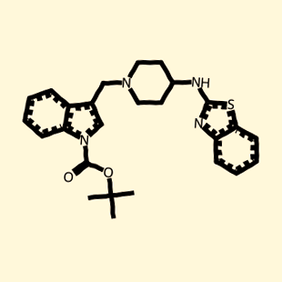 CC(C)(C)OC(=O)n1cc(CN2CCC(Nc3nc4ccccc4s3)CC2)c2ccccc21